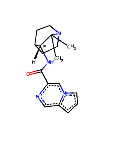 CC1(C)[C@H](NC(=O)c2cn3cccc3cn2)C2CCN1CC2